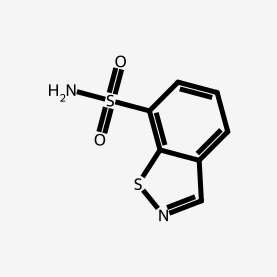 NS(=O)(=O)c1cccc2cnsc12